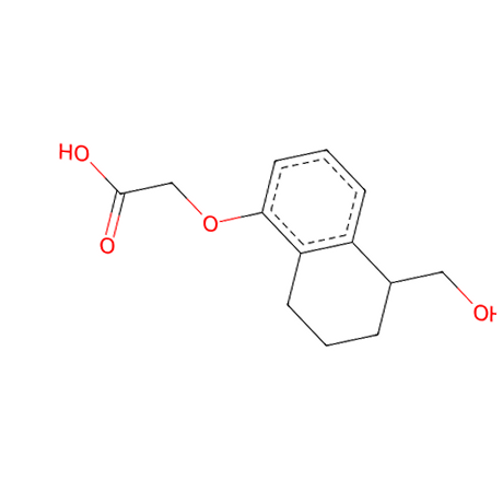 O=C(O)COc1cccc2c1CCCC2CO